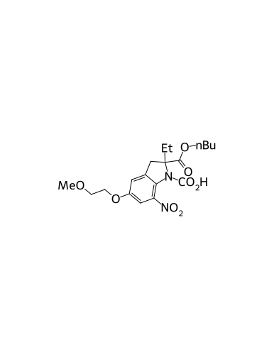 CCCCOC(=O)C1(CC)Cc2cc(OCCOC)cc([N+](=O)[O-])c2N1C(=O)O